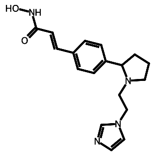 O=C(/C=C/c1ccc(C2CCCN2CCn2ccnc2)cc1)NO